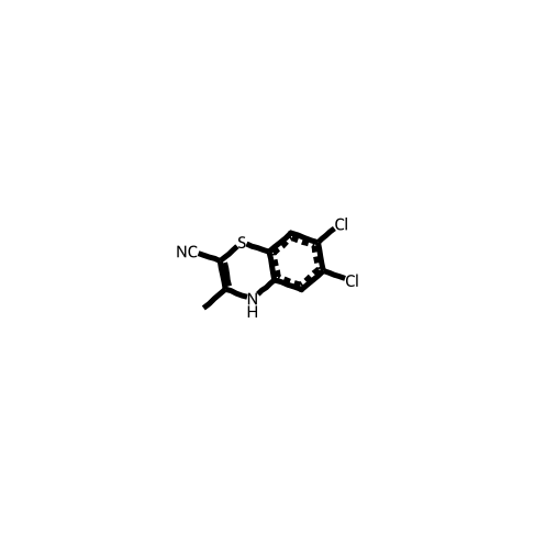 CC1=C(C#N)Sc2cc(Cl)c(Cl)cc2N1